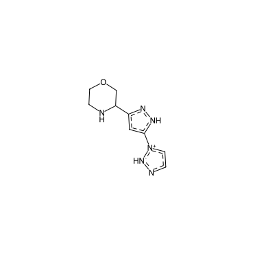 c1c[n+](-c2cc(C3COCCN3)n[nH]2)[nH]n1